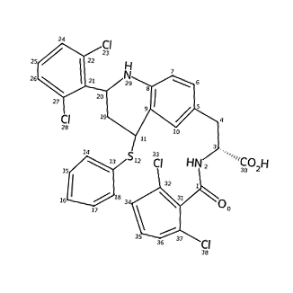 O=C(N[C@H](Cc1ccc2c(c1)C(Sc1ccccc1)CC(c1c(Cl)cccc1Cl)N2)C(=O)O)c1c(Cl)cccc1Cl